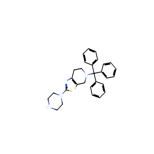 c1ccc(C(c2ccccc2)(c2ccccc2)N2CCc3nc(N4CCNCC4)sc3C2)cc1